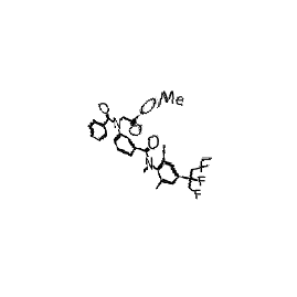 COC(=O)CN(C(=O)c1ccccc1)c1cccc(C(=O)N(C)c2c(C)cc(C(F)(CF)CF)cc2C)c1